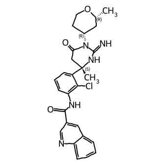 C[C@@H]1C[C@H](N2C(=N)N[C@](C)(c3cccc(NC(=O)c4cnc5ccccc5c4)c3Cl)CC2=O)CCO1